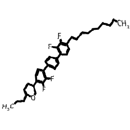 CCCCCCCCCCc1ccc(-c2ccc(-c3ccc(C4CCC(CCC)OC4)c(F)c3F)cc2)c(F)c1F